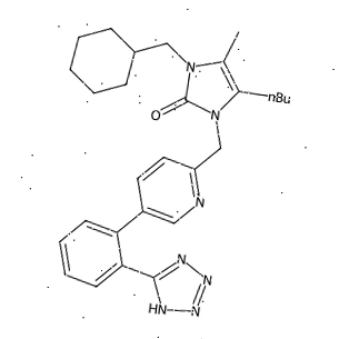 CCCCc1c(C)n(CC2CCCCC2)c(=O)n1Cc1ccc(-c2ccccc2-c2nnn[nH]2)cn1